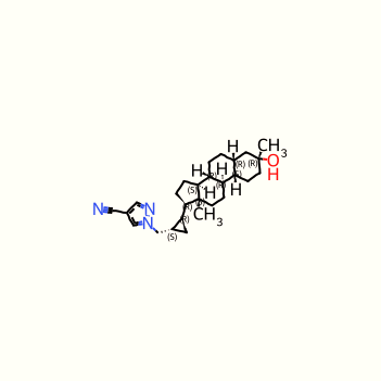 C[C@@]1(O)CC[C@H]2[C@H](CC[C@@H]3[C@@H]2CC[C@]2(C)[C@@H]([C@H]4C[C@@H]4Cn4cc(C#N)cn4)CC[C@@H]32)C1